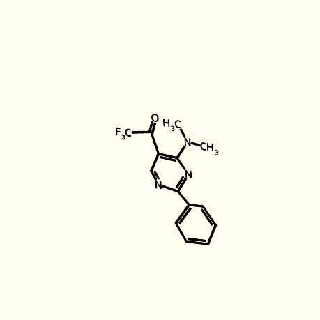 CN(C)c1nc(-c2ccccc2)ncc1C(=O)C(F)(F)F